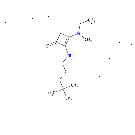 CCN(C)C1=C(NCCCC(C)(C)C)C(=S)C1